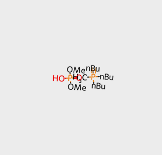 CCCC[PH](C)(CCCC)CCCC.COP(=O)(O)OC